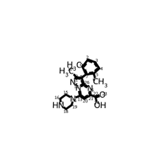 Cc1cccc(C)c1-c1c(C)nn2c(N3CCNCC3)cc(C(=O)O)nc12